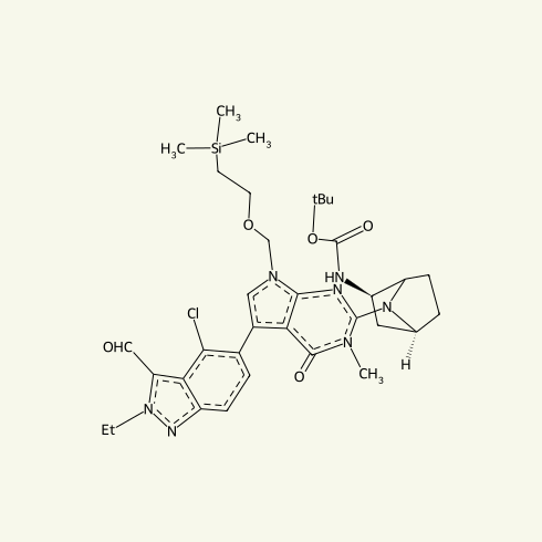 CCn1nc2ccc(-c3cn(COCC[Si](C)(C)C)c4nc(N5C6CC[C@H]5C[C@H]6NC(=O)OC(C)(C)C)n(C)c(=O)c34)c(Cl)c2c1C=O